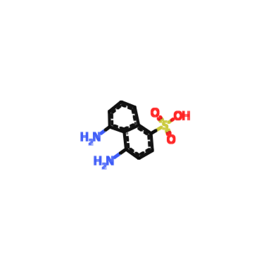 Nc1cccc2c(S(=O)(=O)O)ccc(N)c12